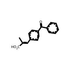 CC(=Cc1ccc(C(=O)c2ccccc2)cc1)C(=O)O